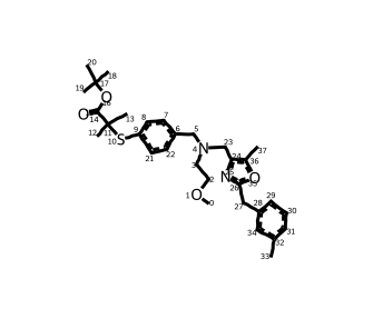 COCCN(Cc1ccc(SC(C)(C)C(=O)OC(C)(C)C)cc1)Cc1nc(Cc2cccc(C)c2)oc1C